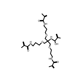 C=C(C)C(=O)NCCCOCC(COCCCNC(=O)C(=C)C)(COCCCNC(=O)C(=C)C)NC(O)C(=C)C